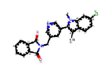 Cn1c(-c2cncc(CN3C(=O)c4ccccc4C3=O)c2)c(C#N)c2ccc(Cl)cc21